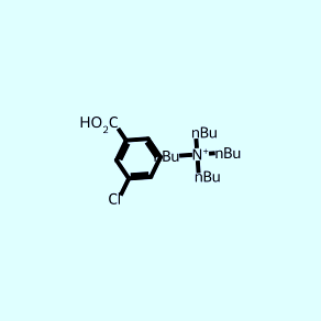 CCCC[N+](CCCC)(CCCC)CCCC.O=C(O)c1cccc(Cl)c1